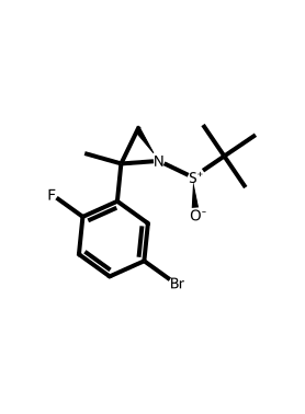 CC1(c2cc(Br)ccc2F)C[N@@]1[S@+]([O-])C(C)(C)C